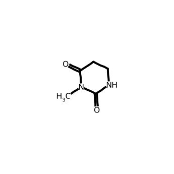 CN1C(=O)CCNC1=O